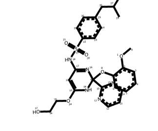 COc1ccccc1OC1(c2ncccn2)N=C(NS(=O)(=O)c2ccc(CC(C)C)cc2)C=C(OCCO)N1